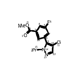 COC(=O)c1cc(F)cc(-c2c(Cl)cnn2C(C)C)c1